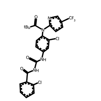 CC(C)(C)C(=O)N(c1ccc(C(F)(F)F)cn1)c1ccc(NC(=O)NC(=O)c2ccccc2Cl)cc1Cl